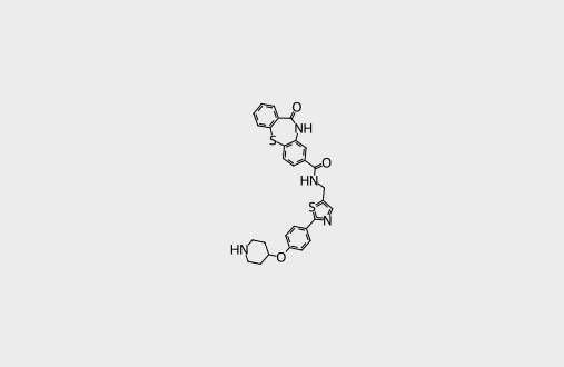 O=C(NCc1cnc(-c2ccc(OC3CCNCC3)cc2)s1)c1ccc2c(c1)NC(=O)c1ccccc1S2